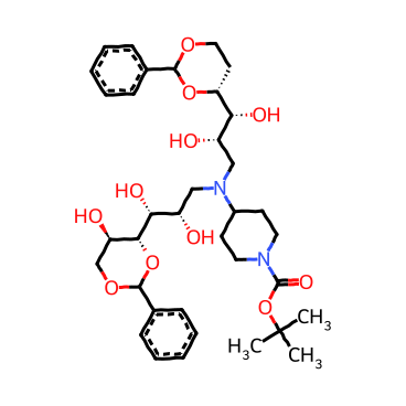 CC(C)(C)OC(=O)N1CCC(N(C[C@H](O)[C@@H](O)[C@H]2CCOC(c3ccccc3)O2)C[C@H](O)[C@@H](O)[C@@H]2OC(c3ccccc3)OC[C@H]2O)CC1